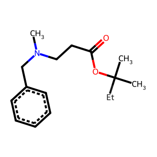 CCC(C)(C)OC(=O)CCN(C)Cc1ccccc1